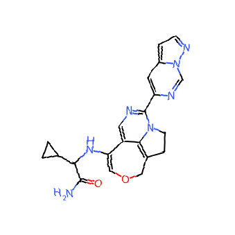 NC(=O)C(NC1=COCC2=C3C1=CN=C(c1cc4ccnn4cn1)N3CC2)C1CC1